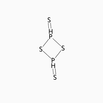 S=[PH]1S[PH](=S)S1